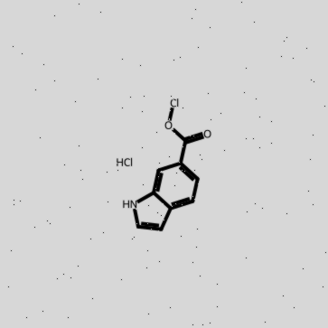 Cl.O=C(OCl)c1ccc2cc[nH]c2c1